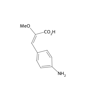 COC(=Cc1ccc(N)cc1)C(=O)O